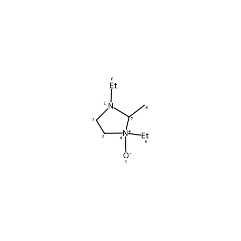 CCN1CC[N+]([O-])(CC)C1C